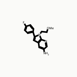 COCCn1c(-c2ccc(F)cc2)cc2cc(N)cnc21